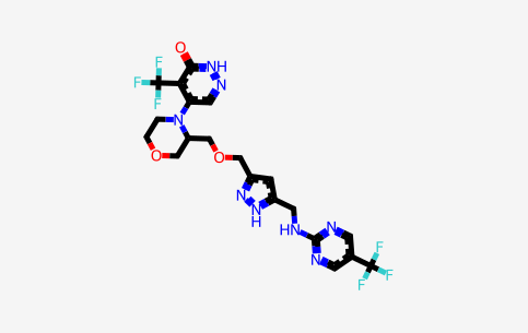 O=c1[nH]ncc(N2CCOCC2COCc2cc(CNc3ncc(C(F)(F)F)cn3)[nH]n2)c1C(F)(F)F